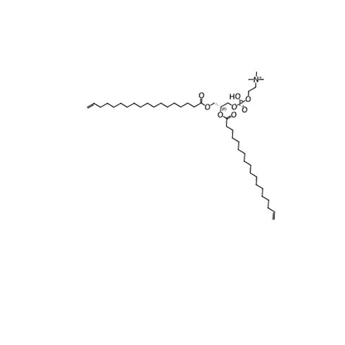 C=CCCCCCCCCCCCCCCCC(=O)OC[C@H](COP(=O)(O)OCC[N+](C)(C)C)OC(=O)CCCCCCCCCCCCCCCC=C